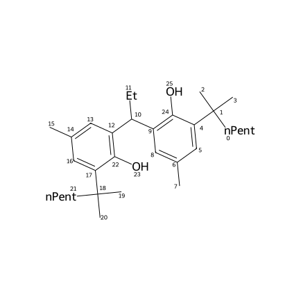 CCCCCC(C)(C)c1cc(C)cc(C(CC)c2cc(C)cc(C(C)(C)CCCCC)c2O)c1O